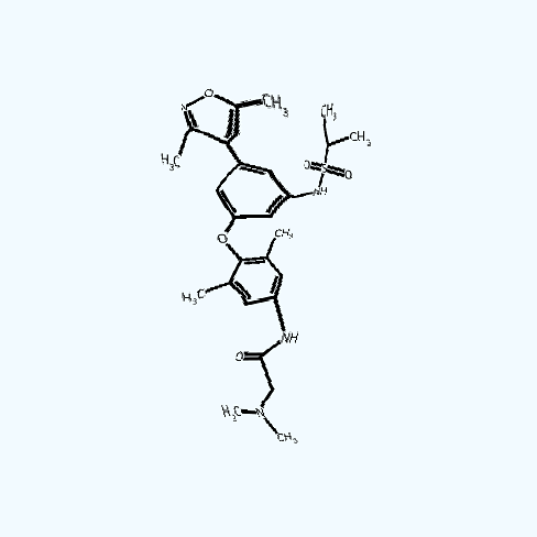 Cc1cc(NC(=O)CN(C)C)cc(C)c1Oc1cc(NS(=O)(=O)C(C)C)cc(-c2c(C)noc2C)c1